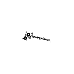 Cc1ccc(Nc2c(C(=O)NOCCOCCOCCOCCN)ccc(F)c2F)c(F)c1